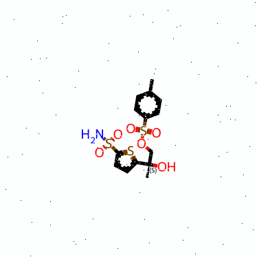 Cc1ccc(S(=O)(=O)OC[C@](C)(O)c2ccc(S(N)(=O)=O)s2)cc1